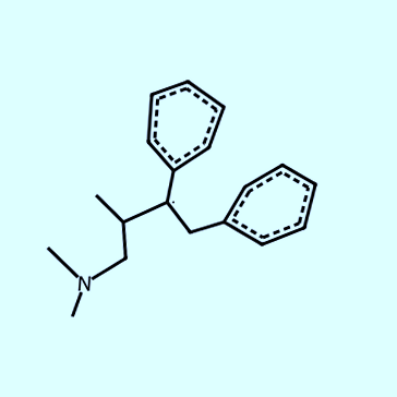 CC(CN(C)C)[C](Cc1ccccc1)c1ccccc1